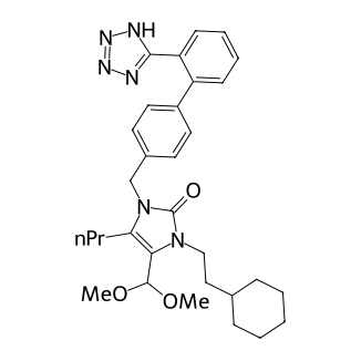 CCCc1c(C(OC)OC)n(CCC2CCCCC2)c(=O)n1Cc1ccc(-c2ccccc2-c2nnn[nH]2)cc1